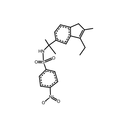 CCC1=C(C)Cc2ccc(C(C)(C)NS(=O)(=O)c3ccc([N+](=O)[O-])cc3)cc21